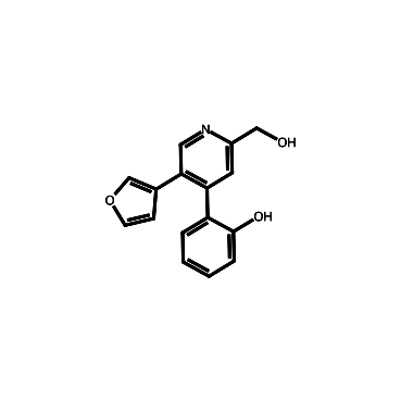 OCc1cc(-c2ccccc2O)c(-c2ccoc2)cn1